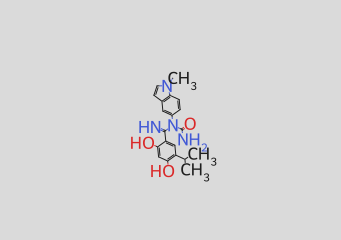 CC(C)c1cc(C(=N)N(C(N)=O)c2ccc3c(ccn3C)c2)c(O)cc1O